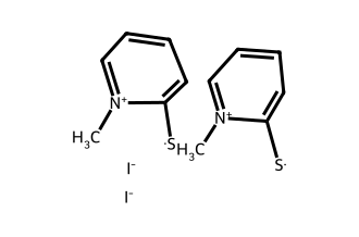 C[n+]1ccccc1[S].C[n+]1ccccc1[S].[I-].[I-]